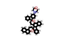 C1=CC(c2ccccc2)(c2ccc(N3CCOCC3)cc2)Oc2c1c1c(c3ccccc23)-c2ccccc2C12C=Cc1c(ccc3ccccc13)O2